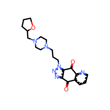 O=C1c2cccnc2C(=O)c2c1nnn2CCCN1CCN(CC2CCCO2)CC1